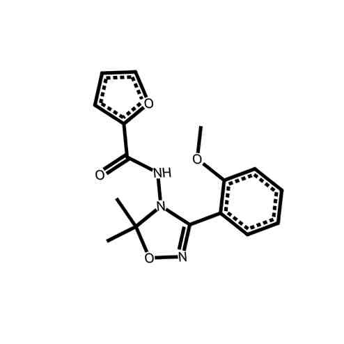 COc1ccccc1C1=NOC(C)(C)N1NC(=O)c1ccco1